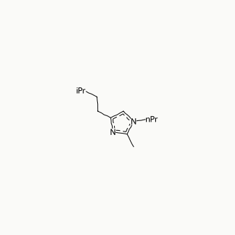 CCCn1cc(CCC(C)C)nc1C